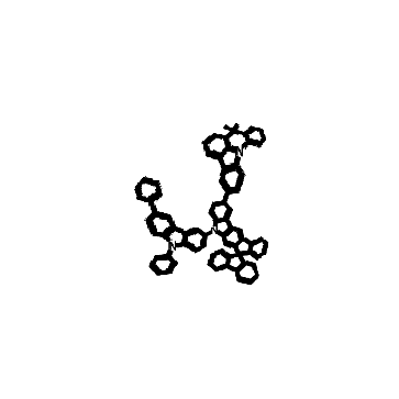 CC1(C)c2ccccc2N2c3ccc(-c4ccc5c(c4)c4cc6c(cc4n5-c4ccc5c(c4)c4cc(-c7ccccc7)ccc4n5-c4ccccc4)C4(C5=C(C=CCC5)c5ccccc54)c4ccccc4-6)cc3C3=CC=CC1C32